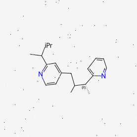 CC(C)C(C)c1cc(CC(C)[C@@H](C)c2ccccn2)ccn1